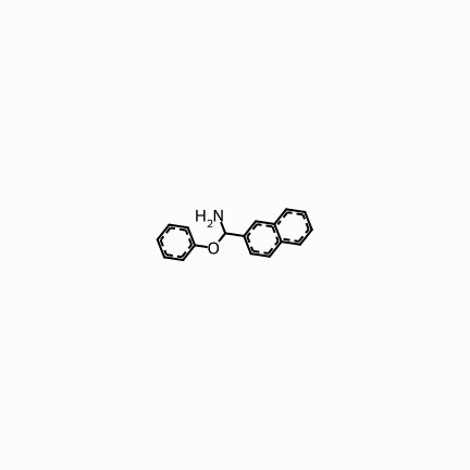 NC(Oc1ccccc1)c1ccc2ccccc2c1